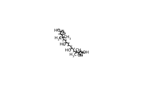 CC(C)(CCC(O)CCCC(O)CCC(C)(C)c1cc(O)no1)c1cc(O)no1